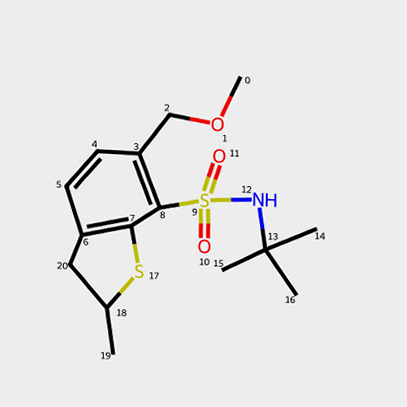 COCc1ccc2c(c1S(=O)(=O)NC(C)(C)C)SC(C)C2